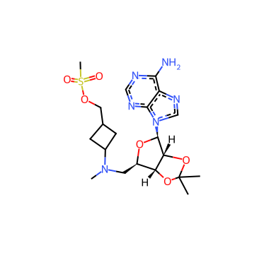 CN(C[C@H]1O[C@@H](n2cnc3c(N)ncnc32)[C@@H]2OC(C)(C)O[C@@H]21)C1CC(COS(C)(=O)=O)C1